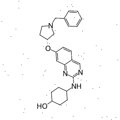 OC1CCC(Nc2ncc3ccc(O[C@@H]4CCN(Cc5ccccc5)C4)cc3n2)CC1